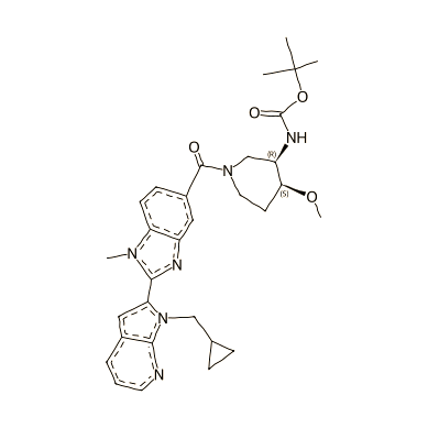 CO[C@H]1CCN(C(=O)c2ccc3c(c2)nc(-c2cc4cccnc4n2CC2CC2)n3C)C[C@H]1NC(=O)OC(C)(C)C